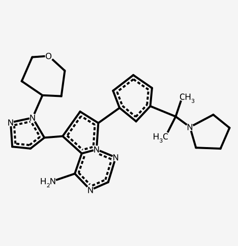 CC(C)(c1cccc(-c2cc(-c3ccnn3C3CCOCC3)c3c(N)ncnn23)c1)N1CCCC1